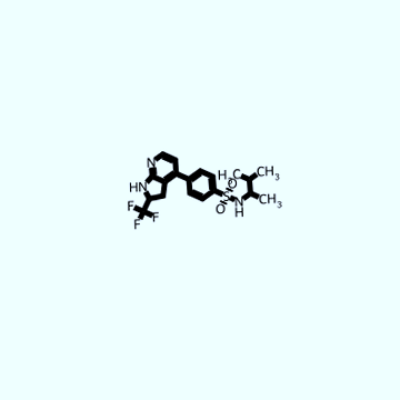 CC(C)C(C)NS(=O)(=O)c1ccc(-c2ccnc3c2CC(C(F)(F)F)N3)cc1